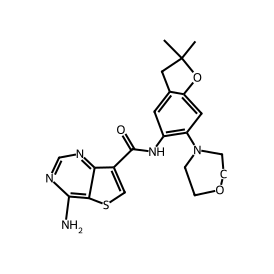 CC1(C)Cc2cc(NC(=O)c3csc4c(N)ncnc34)c(N3CCOCC3)cc2O1